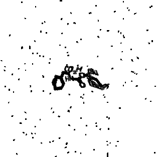 CC(C)C[Si](OC(=O)N[C@@H](Cc1ccccc1)C(=O)O)(C(C)(C)C)C(C)(C)C